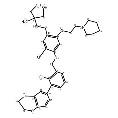 Cc1c(COc2cc(OCCN3CCCCC3)c(CNC(C)(CO)CO)cc2Cl)cccc1-c1ccc2c(c1)OCCO2